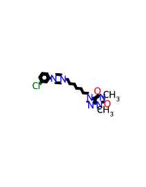 Cn1c(=O)c2c(ncn2CCCCCCCN2CCN(c3cccc(Cl)c3)CC2)n(C)c1=O